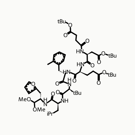 COC(OC)[C@H](Cc1ccco1)NC(=O)[C@H](CC(C)C)NC(=O)[C@@H](NC(=O)[C@H](Cc1ccccc1C)NC(=O)[C@H](CCC(=O)OC(C)(C)C)NC(=O)[C@H](CC(=O)OC(C)(C)C)NC(=O)CCC(=O)OC(C)(C)C)C(C)(C)C